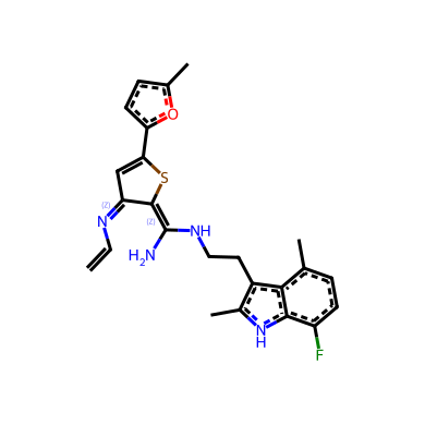 C=C/N=C1/C=C(c2ccc(C)o2)S/C1=C(/N)NCCc1c(C)[nH]c2c(F)ccc(C)c12